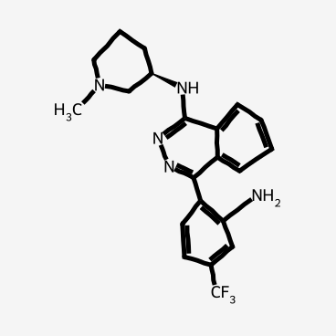 CN1CCC[C@@H](Nc2nnc(-c3ccc(C(F)(F)F)cc3N)c3ccccc23)C1